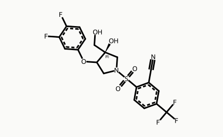 N#Cc1cc(C(F)(F)F)ccc1S(=O)(=O)N1CC(Oc2ccc(F)c(F)c2)[C@](O)(CO)C1